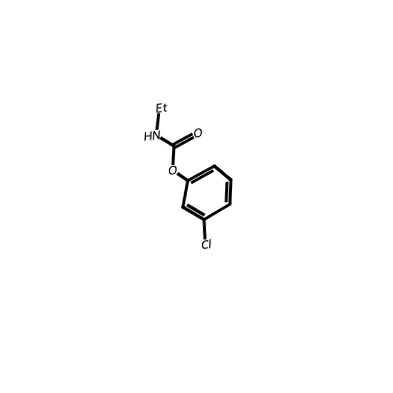 CCNC(=O)Oc1cccc(Cl)c1